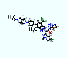 CCN1C[C@H]2CN(c3ccc(-c4cc(C(F)F)c5cn(C(C(=O)Nc6nccs6)c6ncn7c6C[C@@H](F)C7)nc5c4C)cc3)C[C@@]2(F)C1